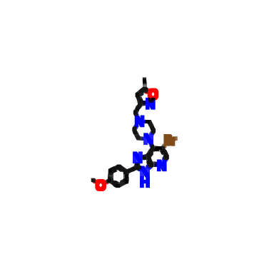 COc1ccc(-c2nc3c(N4CCN(Cc5cc(C)on5)CC4)c(Br)cnc3[nH]2)cc1